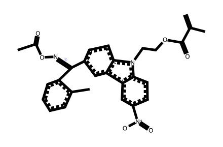 C=C(C)C(=O)OCCn1c2ccc(/C(=N/OC(C)=O)c3ccccc3C)cc2c2cc([N+](=O)[O-])ccc21